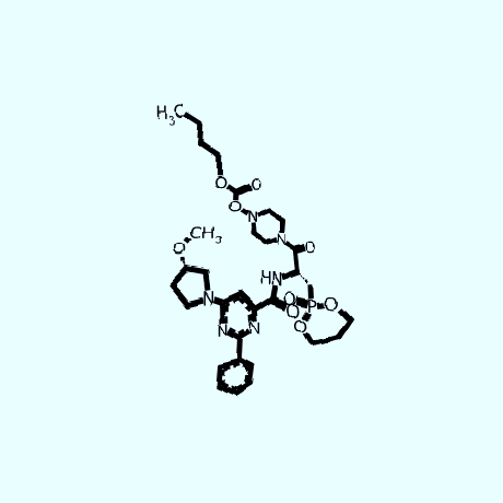 CCCCOC(=O)ON1CCN(C(=O)[C@H](CP2(=O)OCCCO2)NC(=O)c2cc(N3CC[C@H](OC)C3)nc(-c3ccccc3)n2)CC1